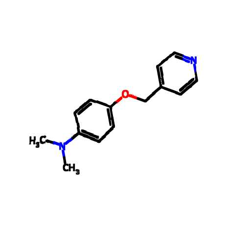 CN(C)c1ccc(OCc2ccncc2)cc1